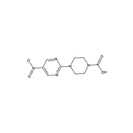 O=C(O)N1CCN(c2ncc([N+](=O)[O-])cn2)CC1